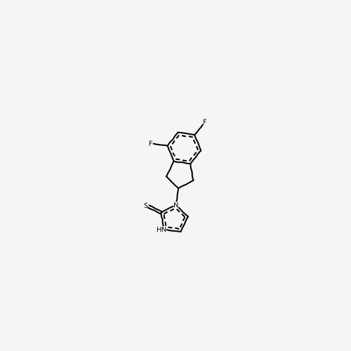 Fc1cc(F)c2c(c1)CC(n1cc[nH]c1=S)C2